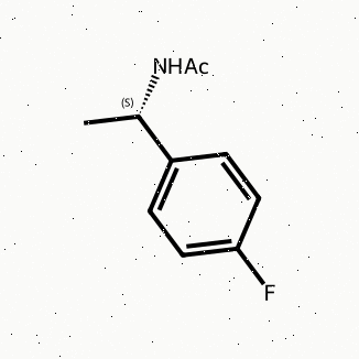 CC(=O)N[C@@H](C)c1ccc(F)cc1